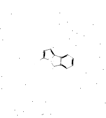 Cc1ccc2n1Cc1ccccc1-2